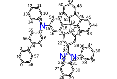 c1ccc(-c2ccc(N(c3ccccc3)c3ccc(C4(c5ccc(-c6nc7ccccc7n6-c6ccccc6)cc5)c5ccccc5-c5ccccc54)cc3)cc2)cc1